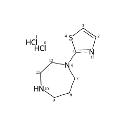 Cl.Cl.c1csc(N2CCCNCC2)n1